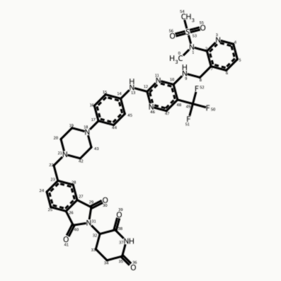 CN(c1ncccc1CNc1nc(Nc2ccc(N3CCN(Cc4ccc5c(c4)C(=O)N(C4CCC(=O)NC4=O)C5=O)CC3)cc2)ncc1C(F)(F)F)S(C)(=O)=O